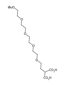 CC(C)COCCOCCOCCOCCOCCC(C(=O)O)C(=O)O